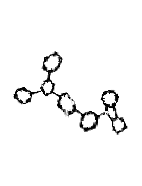 c1ccc(-c2cc(-c3cnc(-c4cccc(-n5c6ccccc6c6ccccc65)c4)nc3)cc(-c3ccccc3)n2)cc1